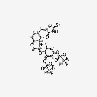 O=C1NC(=S)SC1=Cc1ccc2c(c1)N(Cc1cc(OS(=O)(=O)C(F)(F)F)cc(OS(=O)(=O)C(F)(F)F)c1)C(=O)CO2